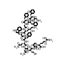 CC[C@H](C)[C@H](NC(=O)[C@H](CCSC)NC(=O)[C@H](CC(N)=O)NC(=O)[C@H](CCC(N)=O)NC(=O)[C@H](Cc1ccc(O)cc1)NC(=O)[C@H](Cc1c[nH]c2ccccc12)NC(=O)[C@H](CCCCN)NC(=O)CNC(=O)[C@H](Cc1ccc(O)cc1)NC(=O)[C@H](Cc1ccccc1)NC(=O)[C@H](Cc1ccccc1)NC(=O)CN)C(=O)N[C@@H](CCCNC(=N)N)C(=O)O